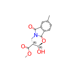 COC(=O)[C@H](CN1C(=O)c2ccc(C)cc2C1=O)[C@@H](C)O